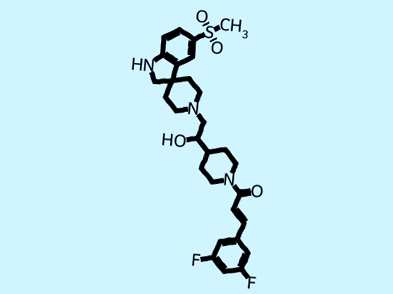 CS(=O)(=O)c1ccc2c(c1)C1(CCN(CC(O)C3CCN(C(=O)/C=C/c4cc(F)cc(F)c4)CC3)CC1)CN2